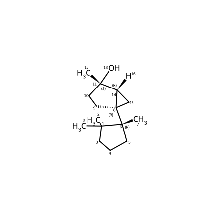 CC1(C)CCC[C@@]1(C)[C@@]12CC[C@](C)(O)[C@@H]1C2